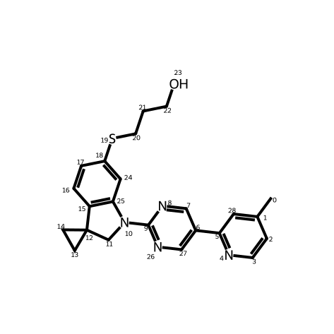 Cc1ccnc(-c2cnc(N3CC4(CC4)c4ccc(SCCCO)cc43)nc2)c1